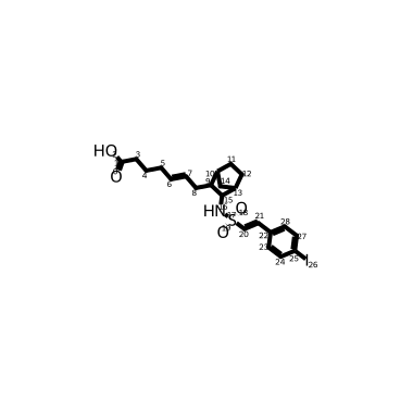 O=C(O)CCCC=CCC1C2CCC(C2)C1NS(=O)(=O)C=Cc1ccc(I)cc1